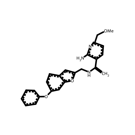 C=C(NCc1cc2ccc(Oc3ccccc3)cc2o1)c1ccc(COC)nc1N